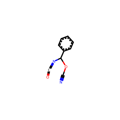 N#COC(N=C=O)c1ccccc1